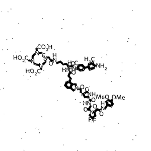 COc1ccc(CNC(=O)C(=O)C2CC(F)(F)CN2C(=O)CNC(=O)[C@@H]2C[C@@H](CC(=O)N3Cc4cccc(CCC(=O)NC(CCCCNC(=O)CN5CCN(CC(=O)O)CCN(CC(=O)O)CCN(CC(=O)O)CC5)C(=O)Nc5ccc(-c6ccc(N)c(C)c6)cc5C)c4C3)C(=O)N2)cc1OC